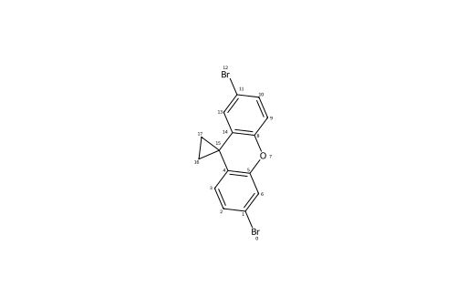 Brc1ccc2c(c1)Oc1ccc(Br)cc1C21CC1